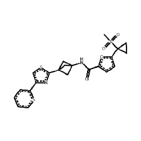 CS(=O)(=O)C1(c2ccc(C(=O)NC34CC(c5nc(-c6ccccn6)cs5)(C3)C4)o2)CC1